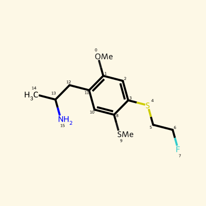 COc1cc(SCCF)c(SC)cc1CC(C)N